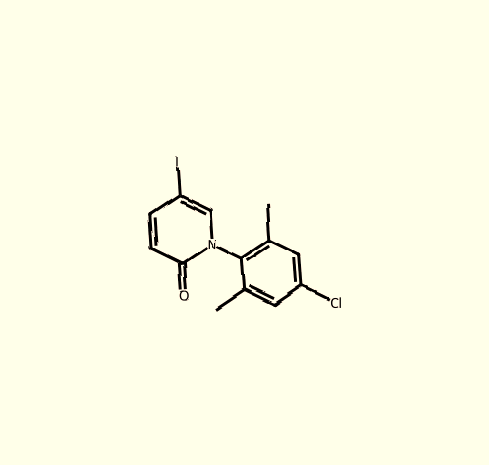 Cc1cc(Cl)cc(C)c1-n1cc(I)ccc1=O